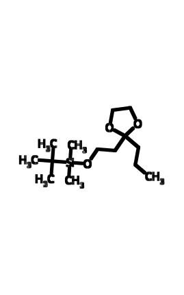 CCCC1(CCO[Si](C)(C)C(C)(C)C)OCCO1